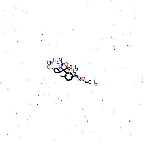 BC1(B)OC(N)=NC12c1cc(/C=N/OCC)ccc1C[C@]21CC[C@@H](OC)CC1